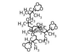 CC(COC(C)(C)CC(CC(C)(C)OCC(C)C(C)(C)N1COCOC1)C(C)(C)OCC(C)C(C)(C)N1COCOC1)C(C)(C)N1COCOC1